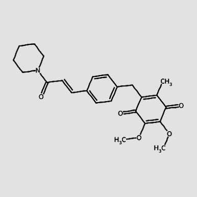 COC1=C(OC)C(=O)C(Cc2ccc(C=CC(=O)N3CCCCC3)cc2)=C(C)C1=O